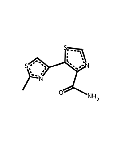 Cc1nc(-c2s[c]nc2C(N)=O)cs1